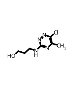 Cc1nc(NCCCO)nnc1Cl